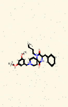 CCCCN1C(=O)C(CC2CCCCC2)NC(=O)C12CCN(Cc1cc(OC)cc(OC)c1)CC2